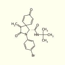 C=C1C(=O)N(c2ccc(Br)cc2)[C@@H](C(=O)NC(C)(C)C)C12C=CC(=O)C=C2